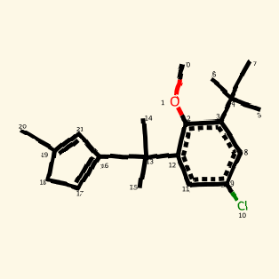 COc1c(C(C)(C)C)cc(Cl)cc1C(C)(C)C1=CCC(C)=C1